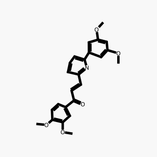 COc1cc(OC)cc(-c2cccc(C=CC(=O)c3ccc(OC)c(OC)c3)n2)c1